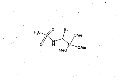 CCC(NS(C)(=O)=O)[Si](OC)(OC)OC